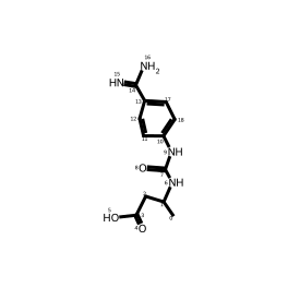 CC(CC(=O)O)NC(=O)Nc1ccc(C(=N)N)cc1